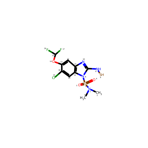 CN(C)S(=O)(=O)n1c(NS)nc2cc(OC(F)F)c(Cl)cc21